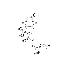 CCCC(CCC(=O)OS(=O)(=O)c1ccc(C)cc1)C(=O)O